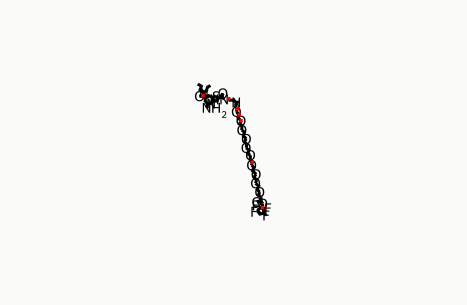 CCCN(CCC)C(=O)C1=Cc2sc(C(=O)NCCCN(C)CCOCCOCCOCCOCCOCCOCCOCCOCCOCCOCCC(=O)Oc3c(F)c(F)cc(F)c3F)cc2N=C(N)C1